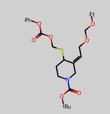 CCOCOC/C=C1/CN(C(=O)OC(C)(C)C)CCC1SCOC(=O)OC(C)C